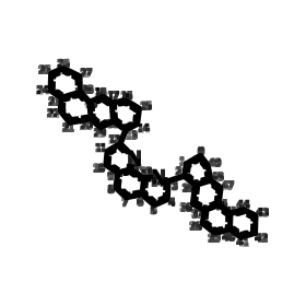 c1cc(-c2ccc3ccc4ccc(-c5cccc6cc7c(ccc8ccccc87)cc56)nc4c3n2)c2cc3ccc4ccccc4c3cc2c1